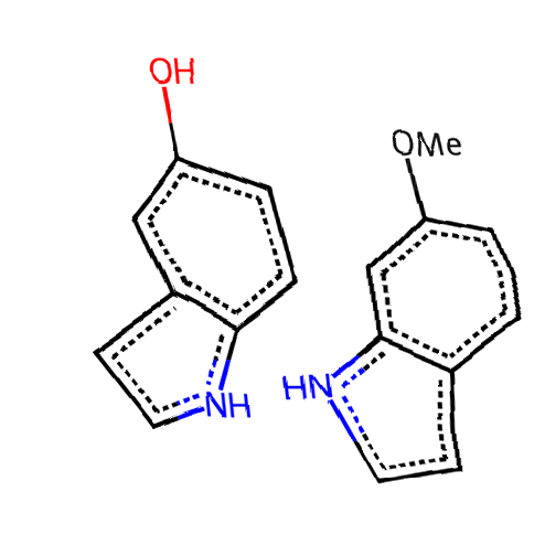 COc1ccc2cc[nH]c2c1.Oc1ccc2[nH]ccc2c1